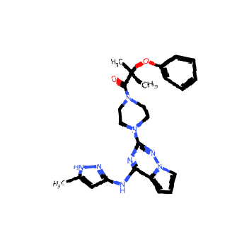 Cc1cc(Nc2nc(N3CCN(C(=O)C(C)(C)Oc4ccccc4)CC3)nn3cccc23)n[nH]1